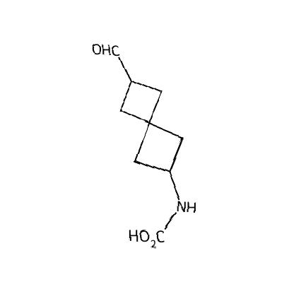 O=CC1CC2(C1)CC(NC(=O)O)C2